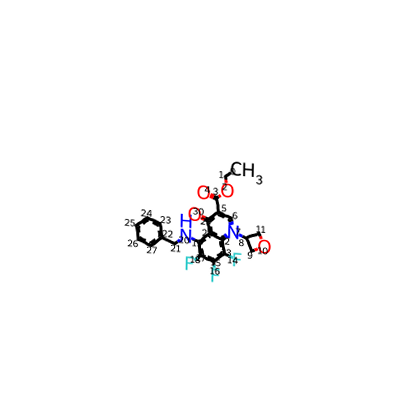 CCOC(=O)c1cn(C2COC2)c2c(F)c(F)c(F)c(NCc3ccccc3)c2c1=O